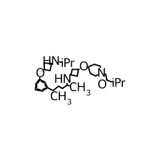 CC(C)N[C@H]1C[C@H](Oc2cccc(C(C)CCC(C)N[C@H]3C[C@H](OC4CCN(CC(=O)C(C)C)CC4)C3)c2)C1